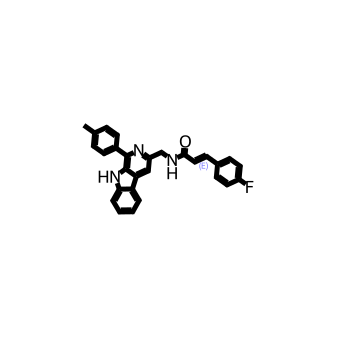 Cc1ccc(-c2nc(CNC(=O)/C=C/c3ccc(F)cc3)cc3c2[nH]c2ccccc23)cc1